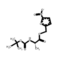 C[C@H](NC(=O)OC(C)(C)C)C(=O)OCc1ccc([N+](=O)[O-])o1